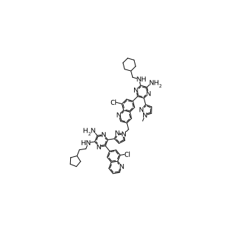 Cn1ccc(-c2nc(N)c(NCC3CCCCC3)nc2-c2cc(Cl)c3ncc(Cn4ccc(-c5nc(N)c(NCCC6CCCC6)nc5-c5cc(Cl)c6ncccc6c5)n4)cc3c2)n1